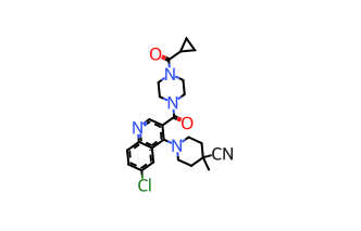 CC1(C#N)CCN(c2c(C(=O)N3CCN(C(=O)C4CC4)CC3)cnc3ccc(Cl)cc23)CC1